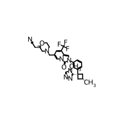 Cn1cnnc1[C@]1(c2cccc(-n3cc4c(C(F)(F)F)cc(CN5CCO[C@H](CC#N)C5)cn4c3=O)c2)C[C@H](C)C1